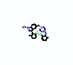 CCCCn1cc(-c2c(C)cccc2Cl)c2cc(CN3CCN(Cc4c(Cl)cccc4Cl)CC3)ccc21